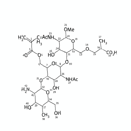 C=C(C)C(=O)OCC1OC(OC2C(COCC(C)C(=O)O)OC(OC)C(NC(C)=O)C2O)C(NC(C)=O)C(O)C1OC1OC(CO)C(C)C(O)C1N